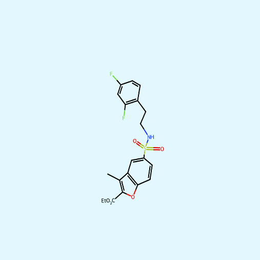 CCOC(=O)c1oc2ccc(S(=O)(=O)NCCc3ccc(F)cc3F)cc2c1C